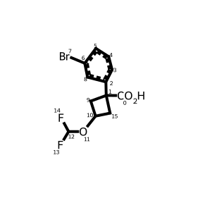 O=C(O)C1(c2cccc(Br)c2)CC(OC(F)F)C1